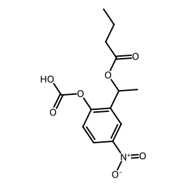 CCCC(=O)OC(C)c1cc([N+](=O)[O-])ccc1OC(=O)O